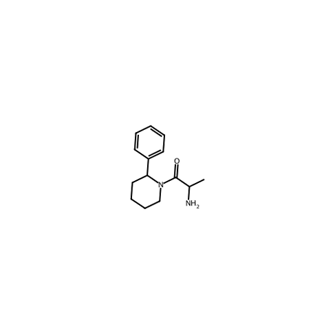 CC(N)C(=O)N1CCCCC1c1ccccc1